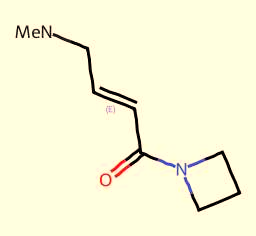 CNC/C=C/C(=O)N1CCC1